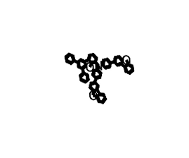 c1ccc(-c2cc(-c3ccccc3)c3oc4c(N(c5ccc(-c6ccc7oc8ccccc8c7c6)cc5)c5ccc(-c6ccc7oc8ccccc8c7c6)cc5)cccc4c3c2)cc1